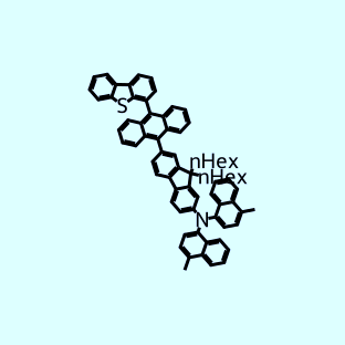 CCCCCCC1(CCCCCC)c2cc(-c3c4ccccc4c(-c4cccc5c4sc4ccccc45)c4ccccc34)ccc2-c2ccc(N(c3ccc(C)c4ccccc34)c3ccc(C)c4ccccc34)cc21